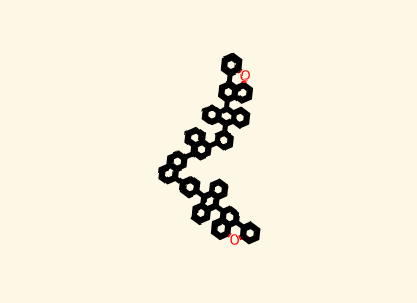 c1cc(-c2ccc(-c3ccc4cccc(-c5ccc(-c6c7ccccc7c(-c7ccc8c9c(cccc79)Oc7ccccc7-8)c7ccccc67)cc5)c4c3)c3ccccc23)cc(-c2c3ccccc3c(-c3ccc4c5c(cccc35)Oc3ccccc3-4)c3ccccc23)c1